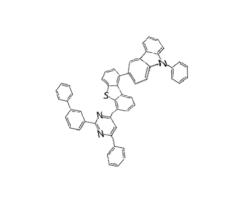 c1ccc(-c2cccc(-c3nc(-c4ccccc4)cc(-c4cccc5c4sc4cccc(-c6ccc7c(c6)c6ccccc6n7-c6ccccc6)c45)n3)c2)cc1